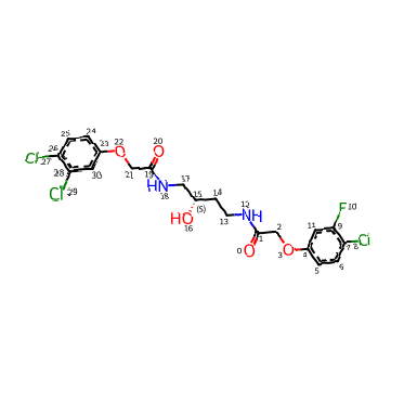 O=C(COc1ccc(Cl)c(F)c1)NCC[C@H](O)CNC(=O)COc1ccc(Cl)c(Cl)c1